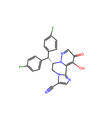 N#Cc1cnc2n1C[C@H](C(c1ccc(F)cc1)c1ccc(F)cc1)n1ncc(=O)c(O)c1-2